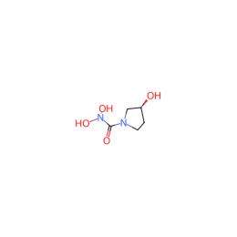 O=C(N(O)O)N1CC[C@H](O)C1